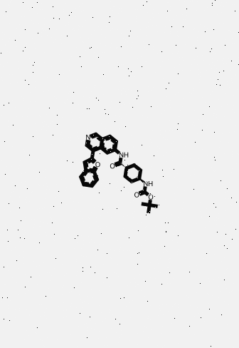 CC(C)(C)OC(=O)N[C@H]1CC[C@H](C(=O)Nc2ccc3cncc(-c4cc5ccccc5o4)c3c2)CC1